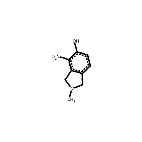 CN1Cc2ccc(O)c([N+](=O)[O-])c2C1